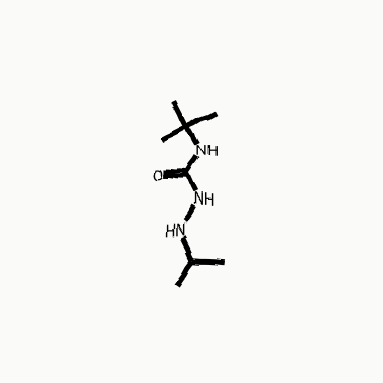 CC(C)NNC(=O)NC(C)(C)C